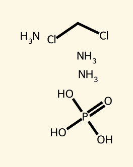 ClCCl.N.N.N.O=P(O)(O)O